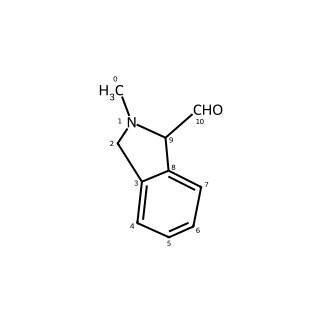 CN1Cc2ccccc2C1C=O